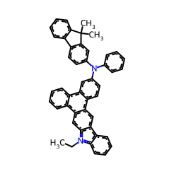 CCn1c2ccccc2c2cc3c4ccc(N(c5ccccc5)c5ccc6c(c5)C(C)(C)c5ccccc5-6)cc4c4ccccc4c3cc21